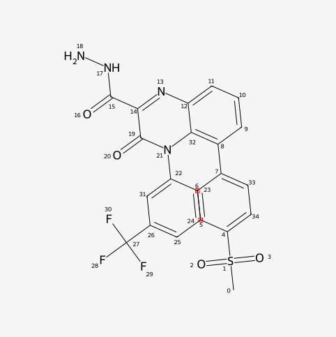 CS(=O)(=O)c1ccc(-c2cccc3nc(C(=O)NN)c(=O)n(-c4cccc(C(F)(F)F)c4)c23)cc1